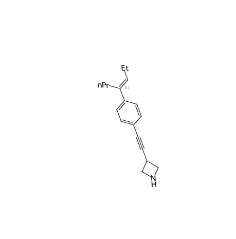 CC/C=C(\CCC)c1ccc(C#CC2CNC2)cc1